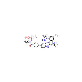 Cc1nc(N[C@H](C)c2cc(N)cc(C(F)(F)F)c2)c2cc([C@H]3CC[C@@H](C(=O)N(C)C[C@@H](C)O)CC3)ccc2n1